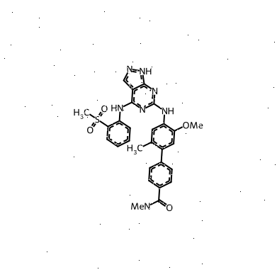 CNC(=O)c1ccc(-c2cc(OC)c(Nc3nc(Nc4ccccc4S(C)(=O)=O)c4cn[nH]c4n3)cc2C)cc1